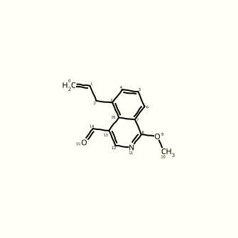 C=CCc1cccc2c(OC)ncc(C=O)c12